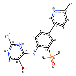 Cc1ccc(-c2ccc(Nc3nc(Cl)ncc3Br)c(P(C)(C)=O)c2)cn1